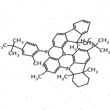 Cc1cc2c3c(c1)N1c4c(cc(C(C)(C)C)cc4C4(C)CCCCC14C)B3c1c(ccc3c1C(C)(C)c1ccccc1-3)N2c1ccc(C(C)(C)C)cc1C